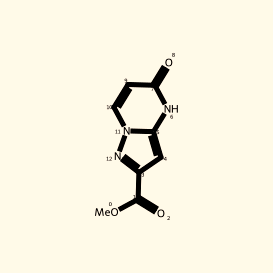 COC(=O)c1cc2[nH]c(=O)ccn2n1